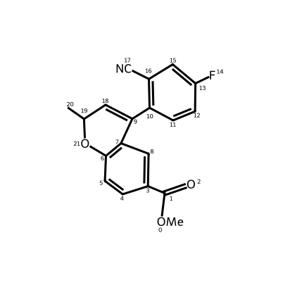 COC(=O)c1ccc2c(c1)C(c1ccc(F)cc1C#N)=CC(C)O2